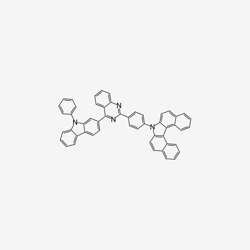 c1ccc(-n2c3ccccc3c3ccc(-c4nc(-c5ccc(-n6c7ccc8ccccc8c7c7c8ccccc8ccc76)cc5)nc5ccccc45)cc32)cc1